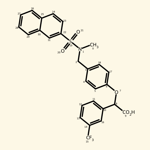 CN(Cc1ccc(OC(C(=O)O)c2cccc(C(F)(F)F)c2)cc1)S(=O)(=O)c1ccc2ccccc2c1